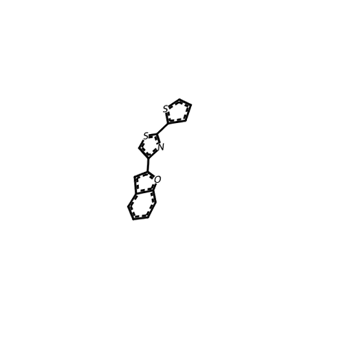 c1csc(-c2nc(-c3cc4ccccc4o3)cs2)c1